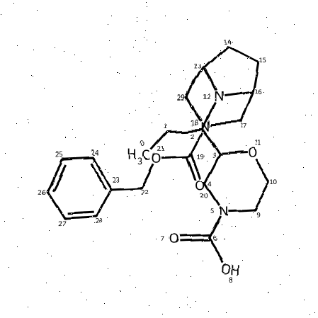 CCC(C1CN(C(=O)O)CCO1)N1C2CCC1CN(C(=O)OCc1ccccc1)C2